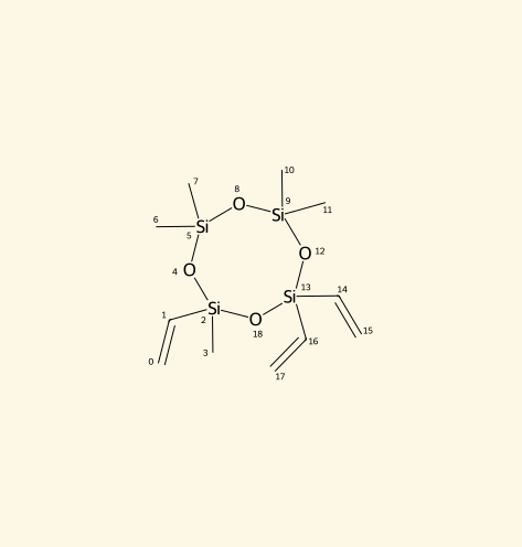 C=C[Si]1(C)O[Si](C)(C)O[Si](C)(C)O[Si](C=C)(C=C)O1